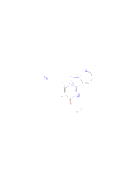 Cc1ccc2c(n1)nn1c(C3CCNCC3)cc(=O)[nH]c21.Cl